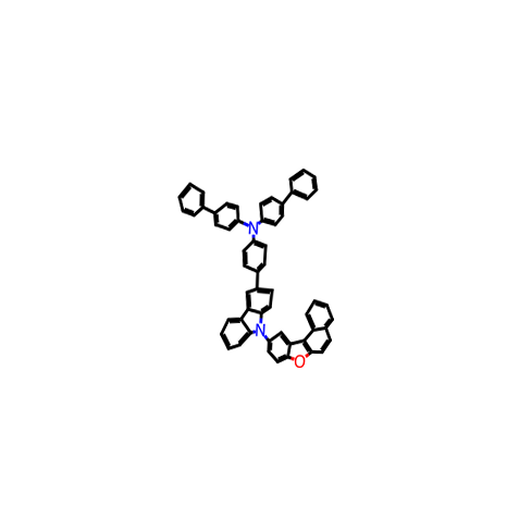 c1ccc(-c2ccc(N(c3ccc(-c4ccccc4)cc3)c3ccc(-c4ccc5c(c4)c4ccccc4n5-c4ccc5oc6ccc7ccccc7c6c5c4)cc3)cc2)cc1